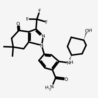 CC1(C)CC(=O)c2c(C(F)(F)F)nn(-c3ccc(C(N)=O)c(N[C@H]4CC[C@@H](O)CC4)c3)c2C1